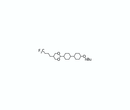 CCCCOC1CCC(C2CCC(C3OCC(CCCC(F)(F)F)CO3)CC2)CC1